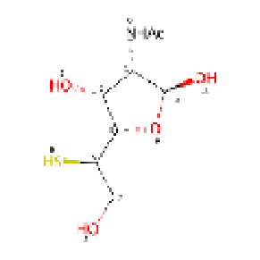 CC(=O)N[C@H]1[C@@H](O)[C@@H]([C@H](S)CO)O[C@@H]1O